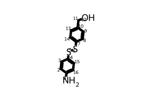 Nc1ccc(SSc2ccc(CO)cc2)cc1